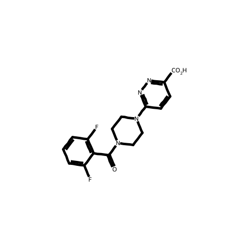 O=C(O)c1ccc(N2CCN(C(=O)c3c(F)cccc3F)CC2)nn1